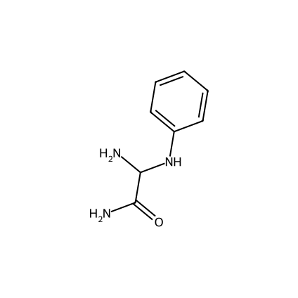 NC(=O)C(N)Nc1ccccc1